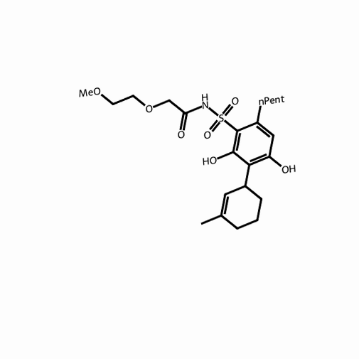 CCCCCc1cc(O)c(C2C=C(C)CCC2)c(O)c1S(=O)(=O)NC(=O)COCCOC